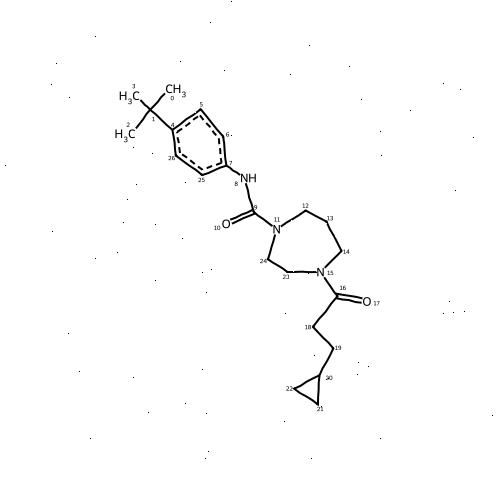 CC(C)(C)c1ccc(NC(=O)N2CCCN(C(=O)CCC3CC3)CC2)cc1